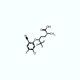 CN(CCC(Oc1cc(Cl)c(F)cc1C#N)C(F)(F)F)C(=O)O